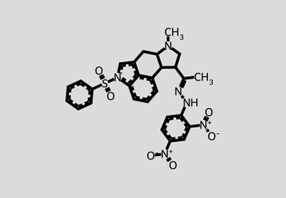 CC(=NNc1ccc([N+](=O)[O-])cc1[N+](=O)[O-])C1CN(C)C2Cc3cn(S(=O)(=O)c4ccccc4)c4cccc(c34)C12